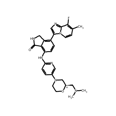 Cc1ccn2c(-c3ccc(Nc4ccc(N5CCO[C@H](CN(C)C)C5)cn4)c4c3CNC4=O)cnc2c1F